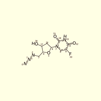 [N-]=[N+]=NCC1OC(n2cc(F)c(=O)[nH]c2=O)CC1O